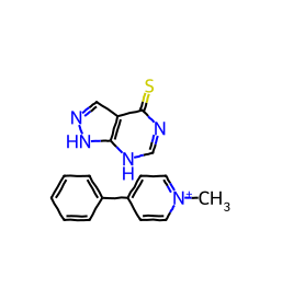 C[n+]1ccc(-c2ccccc2)cc1.S=c1nc[nH]c2[nH]ncc12